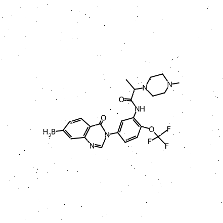 Bc1ccc2c(=O)n(-c3ccc(OC(F)(F)F)c(NC(=O)C(C)N4CCN(C)CC4)c3)cnc2c1